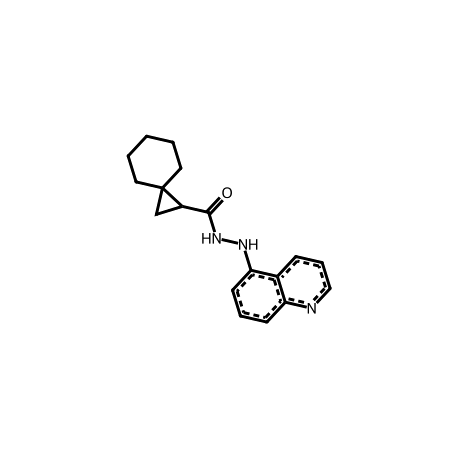 O=C(NNc1cccc2ncccc12)C1CC12CCCCC2